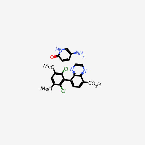 COc1cc(OC)c(Cl)c(-c2ccc(C(=O)O)c3nccnc23)c1Cl.Nc1ccc(=O)[nH]c1